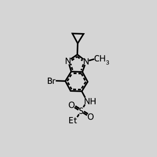 CCS(=O)(=O)Nc1cc(Br)c2nc(C3CC3)n(C)c2c1